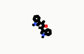 CC(C(=O)C(C)c1cn(C)c2ccccc12)c1cn(C)c2ccccc12